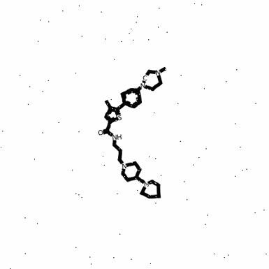 Cc1cc(C(=O)NCCCN2CCC(N3CCCCC3)CC2)sc1-c1ccc(N2CCN(C)CC2)cc1